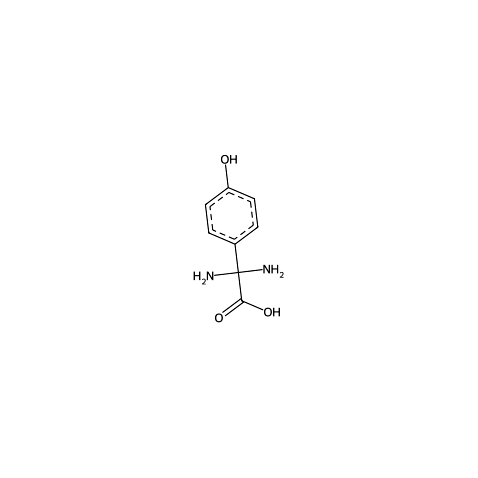 NC(N)(C(=O)O)c1ccc(O)cc1